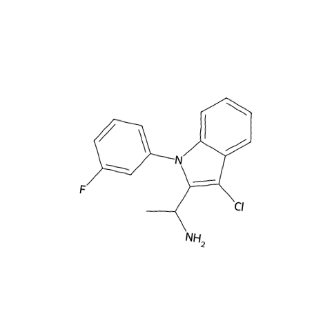 CC(N)c1c(Cl)c2ccccc2n1-c1cccc(F)c1